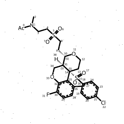 CC(=O)N(C)CCS(=O)(=O)CC[C@@H]1OCC[C@@]2(S(=O)(=O)c3ccc(Cl)cc3)c3c(F)ccc(F)c3OC[C@@H]12